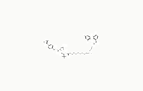 Cc1ncsc1-c1ccc([C@H](C)NC(=O)[C@@H]2C[C@@H](O)CN2C(=O)[C@@H](NC(=O)CCCCCCCCCCN(C)CCCONC(=O)c2ccc(F)c(F)c2Nc2ccc(I)cc2F)C(C)(C)C)cc1